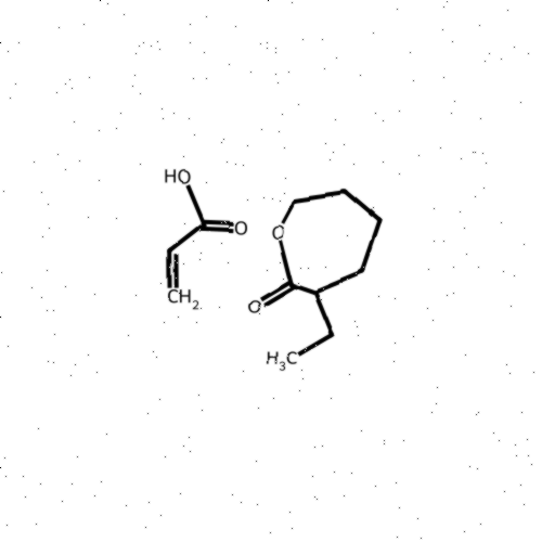 C=CC(=O)O.CCC1CCCCOC1=O